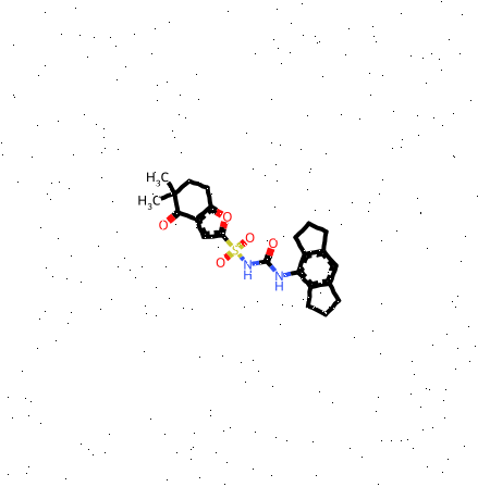 CC1(C)CCc2oc(S(=O)(=O)NC(=O)Nc3c4c(cc5c3CCC5)CCC4)cc2C1=O